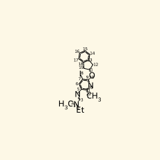 CCN(C)/C=N/c1cc(I)c(OC2Cc3ccccc3C2)nc1C